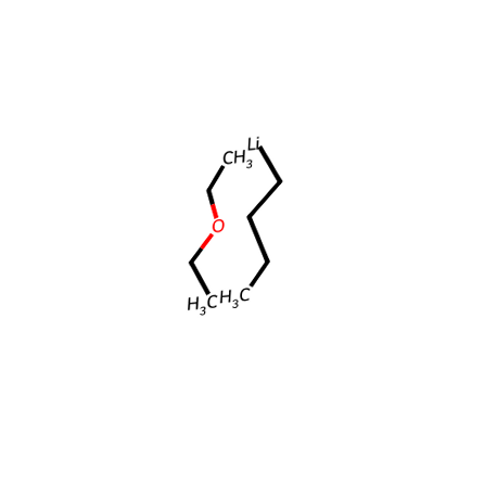 CCOCC.[Li][CH2]CCC